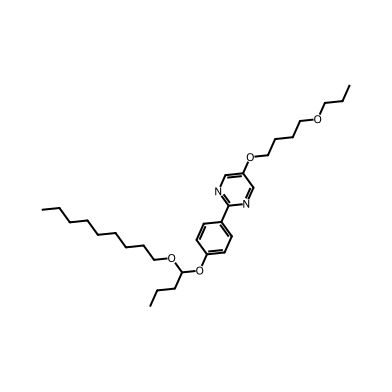 CCCCCCCCCOC(CCC)Oc1ccc(-c2ncc(OCCCCOCCC)cn2)cc1